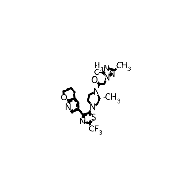 Cc1nc(C)n(CC(=O)N2CCN(c3sc(C(F)(F)F)nc3-c3cnc4c(c3)CCCO4)C[C@H]2C)n1